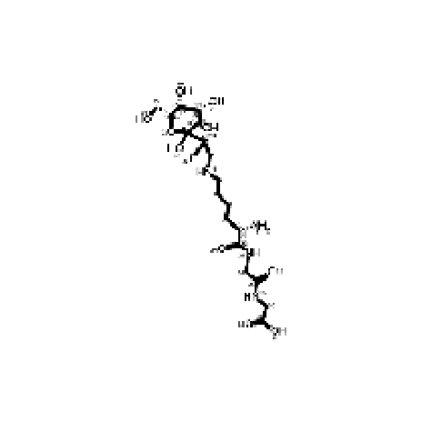 N[C@@H](CCCCNCC(F)(F)C1(O)O[C@H](CO)[C@H](O)[C@H](O)[C@H]1O)C(=O)NCC(=O)NCC(=O)O